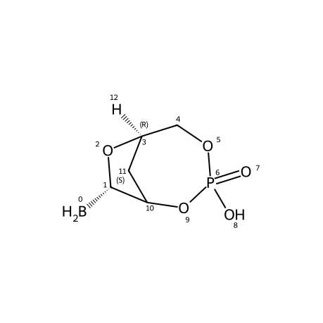 B[C@@H]1O[C@H]2COP(=O)(O)OC1C2